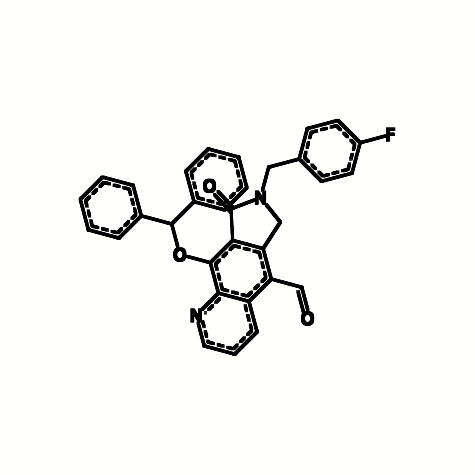 O=Cc1c2c(c(OC(c3ccccc3)c3ccccc3)c3ncccc13)C(=O)N(Cc1ccc(F)cc1)C2